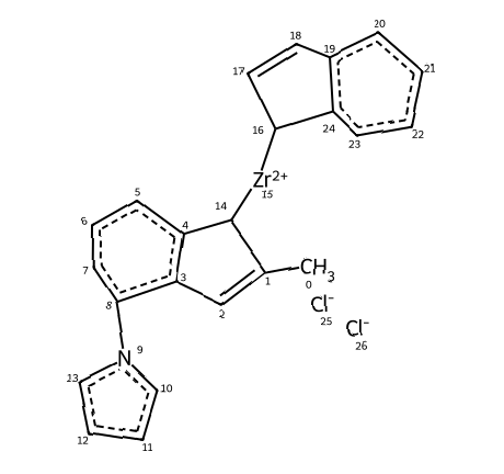 CC1=Cc2c(cccc2-n2cccc2)[CH]1[Zr+2][CH]1C=Cc2ccccc21.[Cl-].[Cl-]